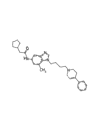 Cc1cc(NC(=O)CC2CCCC2)cc2ncn(CCCCN3CC=C(c4ccccc4)CC3)c12